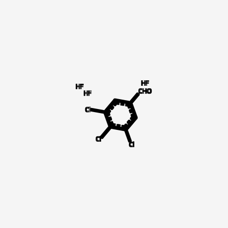 F.F.F.O=Cc1cc(Cl)c(Cl)c(Cl)c1